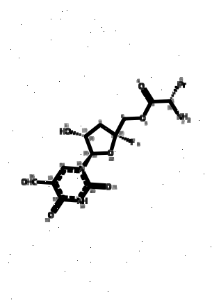 CC(C)[C@H](N)C(=O)OC[C@]1(F)C[C@@H](O)[C@H](n2cc(C=O)c(=O)[nH]c2=O)O1